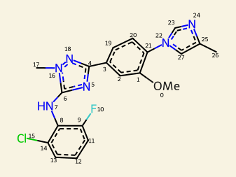 COc1cc(-c2nc(Nc3c(F)cccc3Cl)n(C)n2)ccc1-n1cnc(C)c1